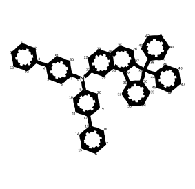 c1ccc(-c2ccc(N(c3ccc(-c4ccccc4)cc3)c3ccc4ccc5c(c4c3)-c3ccccc3C5(c3ccccc3)c3ccccc3)cc2)cc1